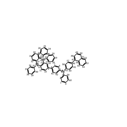 c1ccc(N(c2ccc(-c3ccc4c(c3)[Si](c3ccccc3)(c3ccccc3)c3ccccc3N4c3ccccc3)cc2)c2ccc(-c3cccc4ccccc34)cc2)cc1